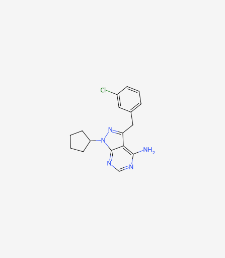 Nc1ncnc2c1c(Cc1cccc(Cl)c1)nn2C1CCCC1